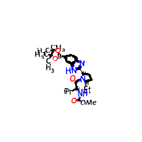 CC[C@H]1CC[C@@H](c2nc3ccc(B4OC(C)(C)C(C)(C)O4)cc3[nH]2)N1C(=O)[C@@H](NC(=O)OC)C(C)C